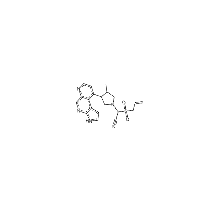 C=CCS(=O)(=O)C(C#N)N1CC(C)C(c2ccnc3cnc4[nH]ccc4c23)C1